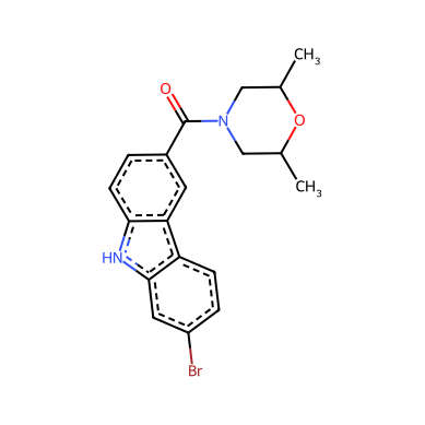 CC1CN(C(=O)c2ccc3[nH]c4cc(Br)ccc4c3c2)CC(C)O1